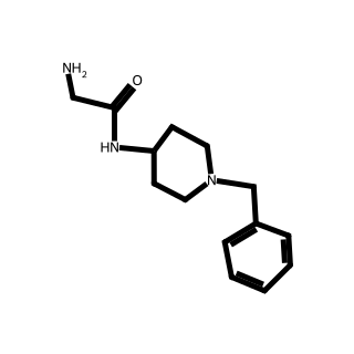 NCC(=O)NC1CCN(Cc2ccccc2)CC1